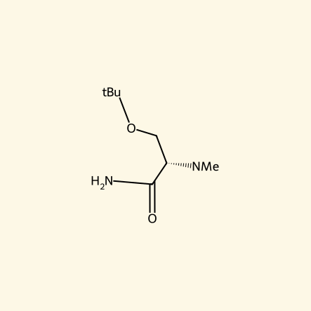 CN[C@@H](COC(C)(C)C)C(N)=O